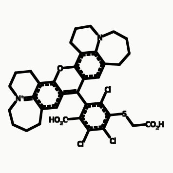 O=C(O)CSc1c(Cl)c(Cl)c(C(=O)O)c(C2=c3cc4c5c(c3Oc3c2cc2c6c3CCCN6CCCC2)CCC[N+]=5CCCC4)c1Cl